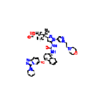 CC(C)(C)c1cc(NC(=O)N[C@H]2CC[C@@H](Oc3ccc4nnc(N5CCCCC5)n4c3)c3ccccc32)n(-c2cnn(CCN3CCOCC3)c2)n1.O=CO